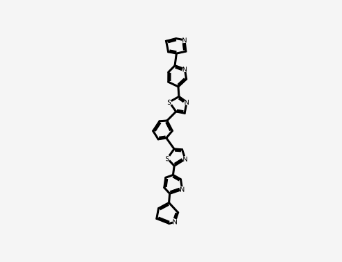 c1cncc(-c2ccc(-c3ncc(-c4cccc(-c5cnc(-c6ccc(-c7cccnc7)nc6)s5)c4)s3)cn2)c1